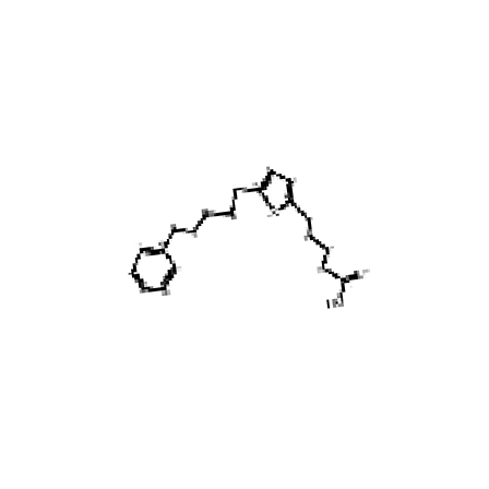 O=C(O)CCCCc1ccc(CCCCCc2ccccc2)s1